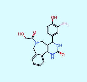 Bc1cc(C2NC(=O)NC3=C2CN(C(=O)CO)Cc2ccccc23)ccc1O